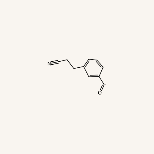 N#CCCc1cccc([C]=O)c1